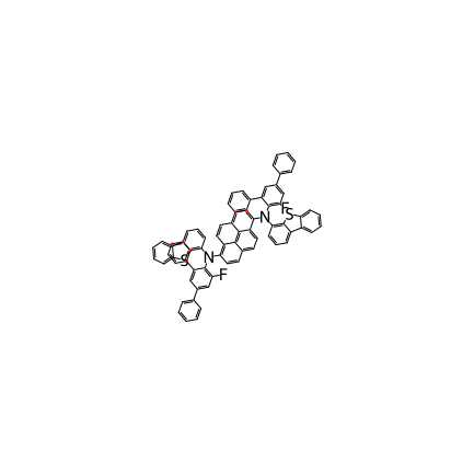 Fc1cc(-c2ccccc2)cc(-c2ccccc2)c1N(c1ccc2ccc3c(N(c4c(F)cc(-c5ccccc5)cc4-c4ccccc4)c4cccc5c4sc4ccccc45)ccc4ccc1c2c43)c1cccc2c1sc1ccccc12